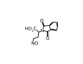 O=[15N]CCC(C(=O)O)N1C(=O)c2ccccc2C1=O